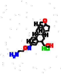 C[C@]12CCC(=NOCCN)CC1C(CO)C[C@@H]1[C@H]2CC[C@]2(C)C(=O)CC[C@@H]12.Cl